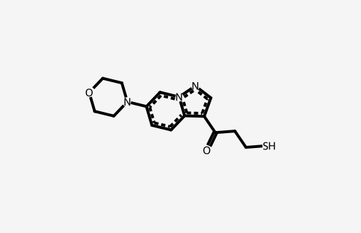 O=C(CCS)c1cnn2cc(N3CCOCC3)ccc12